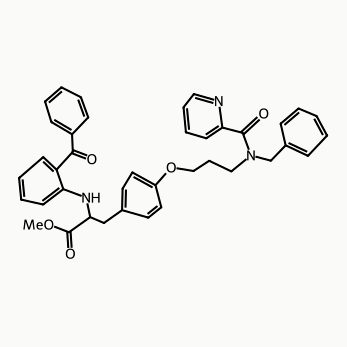 COC(=O)C(Cc1ccc(OCCCN(Cc2ccccc2)C(=O)c2ccccn2)cc1)Nc1ccccc1C(=O)c1ccccc1